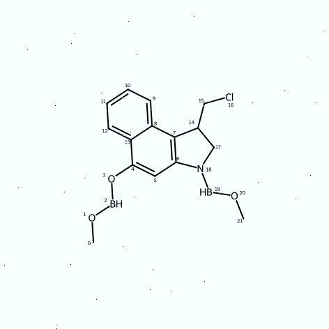 COBOc1cc2c(c3ccccc13)C(CCl)CN2BOC